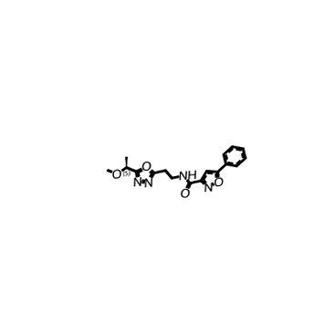 CO[C@@H](C)c1nnc(CCNC(=O)c2cc(-c3ccccc3)on2)o1